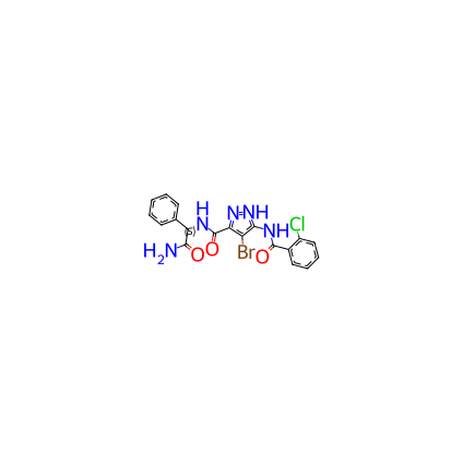 NC(=O)[C@@H](NC(=O)c1n[nH]c(NC(=O)c2ccccc2Cl)c1Br)c1ccccc1